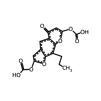 CCCc1c2oc(OC(=O)O)cc2cc2c(=O)cc(OC(=O)O)oc12